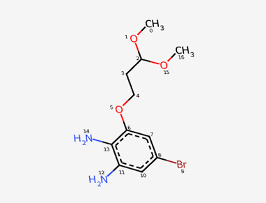 COC(CCOc1cc(Br)cc(N)c1N)OC